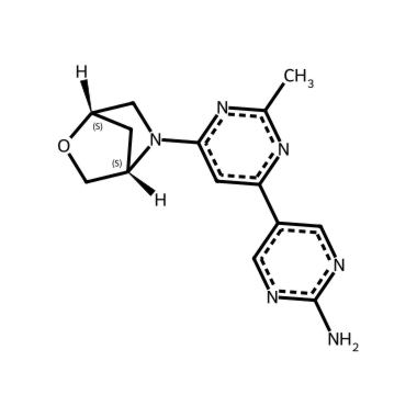 Cc1nc(-c2cnc(N)nc2)cc(N2C[C@@H]3C[C@H]2CO3)n1